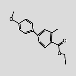 CCOC(=O)c1ccc(-c2ccc(OC)cc2)cc1C